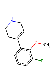 COc1c(F)cccc1C1=CCNCC1